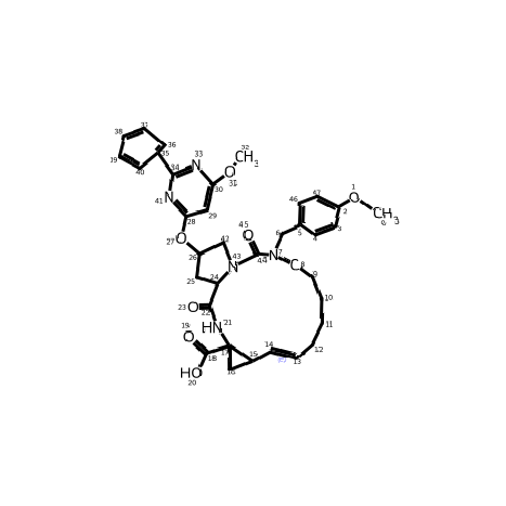 COc1ccc(CN2CCCCC/C=C/C3CC3(C(=O)O)NC(=O)C3CC(Oc4cc(OC)nc(-c5ccccc5)n4)CN3C2=O)cc1